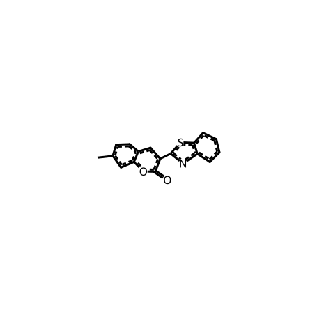 Cc1ccc2cc(-c3nc4ccccc4s3)c(=O)oc2c1